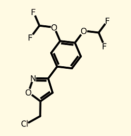 FC(F)Oc1ccc(-c2cc(CCl)on2)cc1OC(F)F